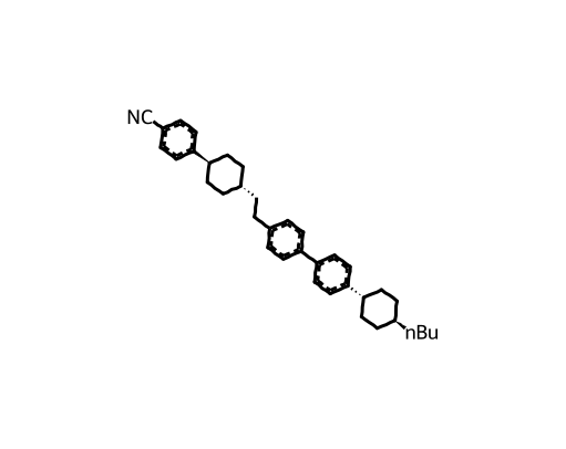 CCCC[C@H]1CC[C@H](c2ccc(-c3ccc(CC[C@H]4CC[C@H](c5ccc(C#N)cc5)CC4)cc3)cc2)CC1